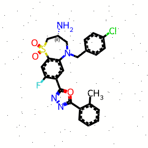 Cc1ccccc1-c1nnc(-c2cc3c(cc2F)S(=O)(=O)C[C@H](N)CN3Cc2ccc(Cl)cc2)o1